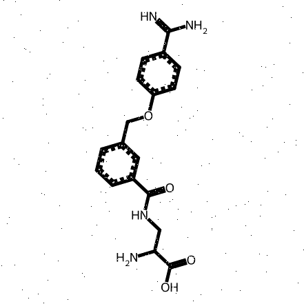 N=C(N)c1ccc(OCc2cccc(C(=O)NCC(N)C(=O)O)c2)cc1